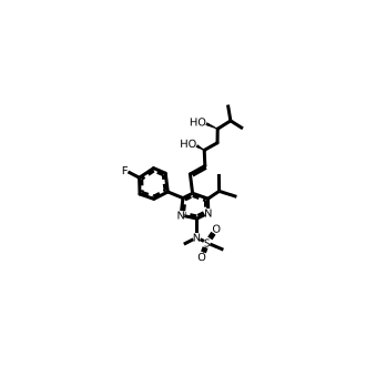 CC(C)c1nc(N(C)S(C)(=O)=O)nc(-c2ccc(F)cc2)c1/C=C/[C@@H](O)C[C@@H](O)C(C)C